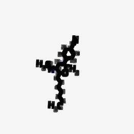 CCCCCCCC(=O)C(/C=C(\C)c1ccc(C#N)cc1)=N/C